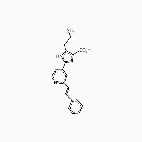 NCCc1[nH]c(-c2ccnc(C=Cc3ccccc3)c2)cc1C(=O)O